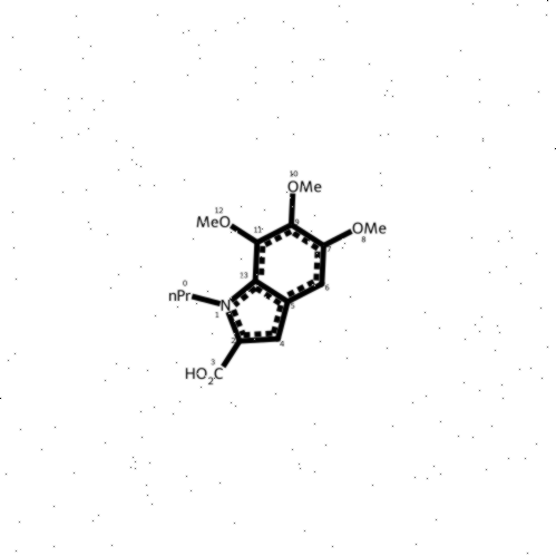 CCCn1c(C(=O)O)cc2cc(OC)c(OC)c(OC)c21